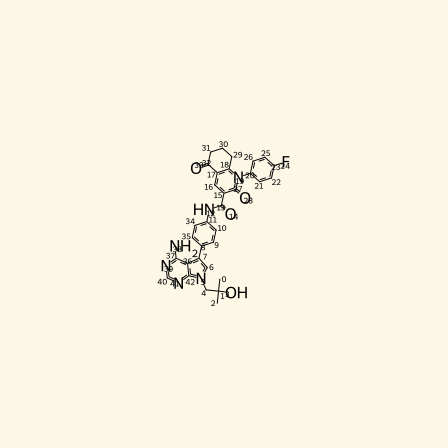 CC(C)(O)Cn1cc(-c2ccc(NC(=O)c3cc4c(n(-c5ccc(F)cc5)c3=O)CCCC4=O)cc2)c2c(N)ncnc21